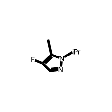 Cc1c(F)cnn1C(C)C